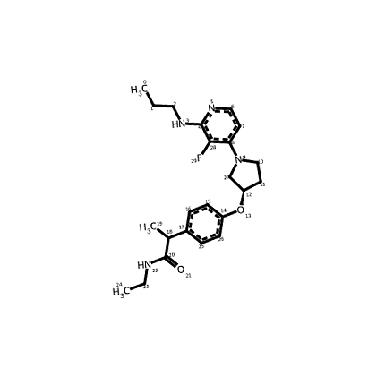 CCCNc1nccc(N2CC[C@@H](Oc3ccc(C(C)C(=O)NCC)cc3)C2)c1F